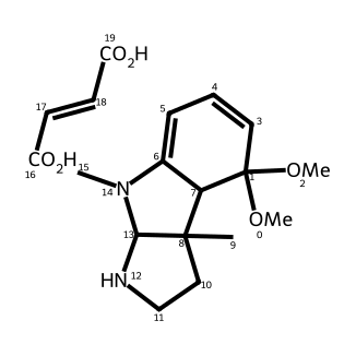 COC1(OC)C=CC=C2C1C1(C)CCNC1N2C.O=C(O)/C=C/C(=O)O